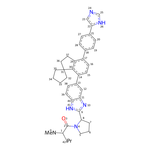 CNC(C(=O)N1CCCC1c1nc2cc(-c3ccc(-c4ccc(-c5cnc[nH]5)cc4)c4c3C3(CCCC3)CC4)ccc2[nH]1)C(C)C